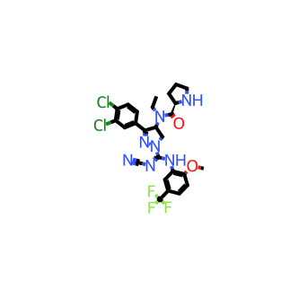 CCN(C(=O)[C@H]1CCCN1)C1CN(C(=NC#N)Nc2cc(C(F)(F)F)ccc2OC)N=C1c1ccc(Cl)c(Cl)c1